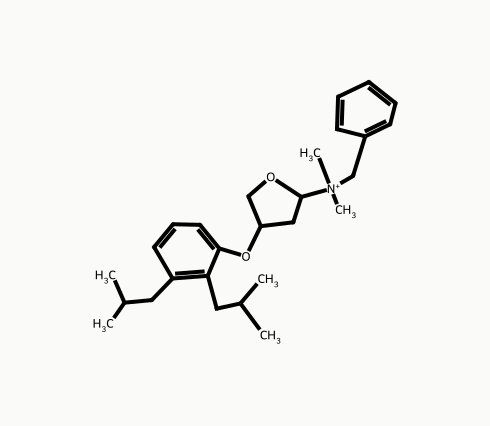 CC(C)Cc1cccc(OC2COC([N+](C)(C)Cc3ccccc3)C2)c1CC(C)C